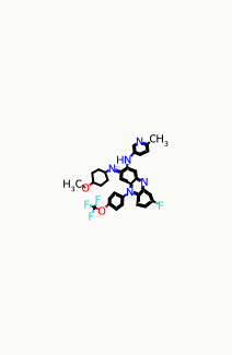 COC1CCC(/N=c2\cc3n(-c4ccc(OC(F)(F)F)cc4)c4ccc(F)cc4nc-3cc2Nc2ccc(C)nc2)CC1